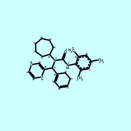 Cc1cc(C)c(NC(=O)N(C2CCCCCC2)C(C2=CC=CCC2)C2=COC=CO2)c(C)c1